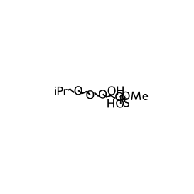 COP(O)(=S)OCC(O)COCCOCCOCCC(C)C